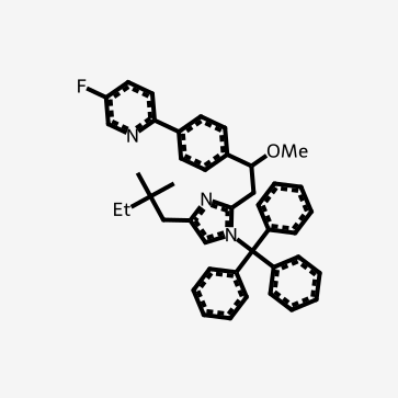 CCC(C)(C)Cc1cn(C(c2ccccc2)(c2ccccc2)c2ccccc2)c(CC(OC)c2ccc(-c3ccc(F)cn3)cc2)n1